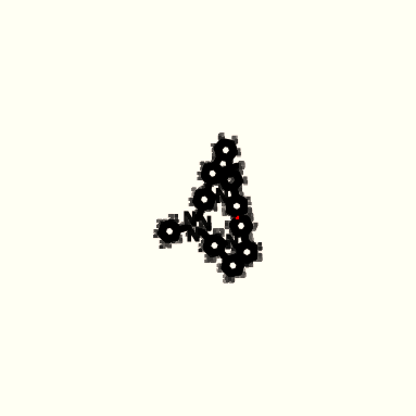 CC1(C)c2ccccc2-c2ccc(-c3ccc(-c4nc(-c5ccccc5)nc(-c5ccc(-c6ccccc6)c(-n6c7ccccc7c7ccccc76)c5)n4)cc3-n3c4ccccc4c4ccccc43)cc21